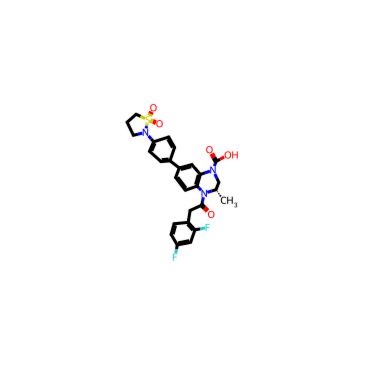 C[C@H]1CN(C(=O)O)c2cc(-c3ccc(N4CCCS4(=O)=O)cc3)ccc2N1C(=O)Cc1ccc(F)cc1F